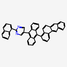 c1ccc2cc3c(ccc4c(-c5c6ccccc6c(-c6cnc(-c7cccc8ccccc78)nc6)c6ccccc56)cccc43)cc2c1